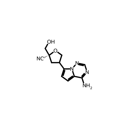 N#C[C@@]1(CO)CC(c2ccc3c(N)ncnn23)CO1